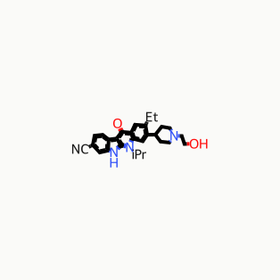 CCc1cc2c(=O)c3c4ccc(C#N)cc4[nH]c3n(C(C)C)c2cc1C1CCN(CCO)CC1